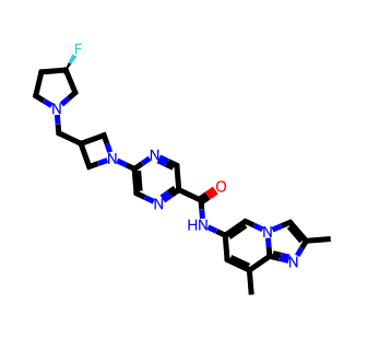 Cc1cn2cc(NC(=O)c3cnc(N4CC(CN5CC[C@@H](F)C5)C4)cn3)cc(C)c2n1